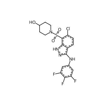 O=S(=O)(c1c(Cl)ccc2c(Nc3cc(F)c(F)c(F)c3)n[nH]c12)N1CCC(O)CC1